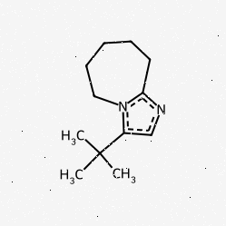 CC(C)(C)c1cnc2n1CCCCC2